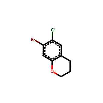 Clc1cc2c(cc1Br)OCCC2